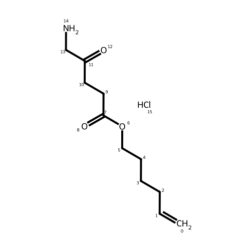 C=CCCCCOC(=O)CCC(=O)CN.Cl